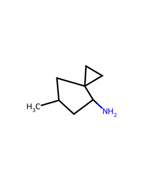 CC1CC(N)C2(CC2)C1